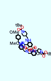 COc1ccc(CN(Cc2ccc(OC)cc2)S(=O)(=O)c2c(S(=O)(=O)N[C@@H]3CCN(C(=O)OC(C)(C)C)C3)ccc(NCC3CCN(C(=O)OC(C)(C)C)CC3)c2-c2nnn(Cc3ccc(OC)cc3)n2)cc1